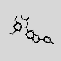 C=C(CC(c1cc(OC)cc(OC)c1)c1ccc2ncc(-c3cnn(C)c3)nc2n1)OC